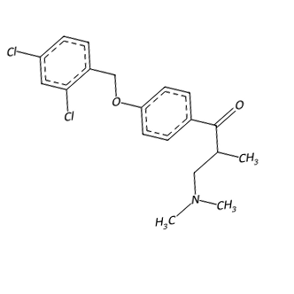 CC(CN(C)C)C(=O)c1ccc(OCc2ccc(Cl)cc2Cl)cc1